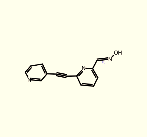 O/N=C/c1cccc(C#Cc2cccnc2)n1